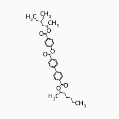 CCCCC[C@@H](C)OC(=O)c1ccc(-c2ccc(C(=O)Oc3ccc(C(=O)O[C@H](C)CC(CC)CC)cc3)cc2)cc1